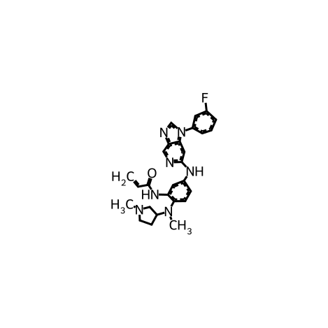 C=CC(=O)Nc1cc(Nc2cc3c(cn2)ncn3-c2cccc(F)c2)ccc1N(C)C1CCN(C)C1